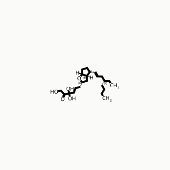 CCCC[C@@H](CC)CC=C[C@H]1CC[C@H]2O[C@@H](CCCC(O)(O)C(=O)CO)C[C@H]12